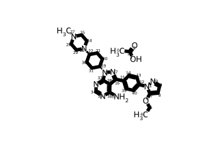 CC(=O)O.CCOc1ccnn1-c1ccc(-c2nn([C@H]3CC[C@H](N4CCN(C)CC4)CC3)c3ncnc(N)c23)cc1